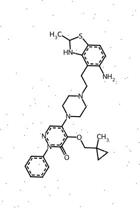 CC1Nc2c(ccc(N)c2CCN2CCN(c3cnn(-c4ccccc4)c(=O)c3OCC3(C)CC3)CC2)S1